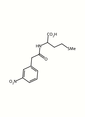 CSCCC(NC(=O)Cc1cccc([N+](=O)[O-])c1)C(=O)O